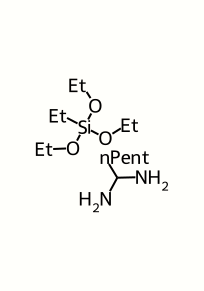 CCCCCC(N)N.CCO[Si](CC)(OCC)OCC